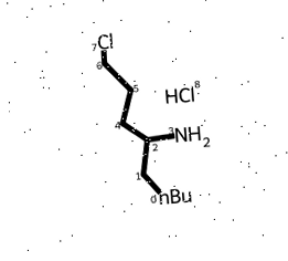 CCCCCC(N)CCCCl.Cl